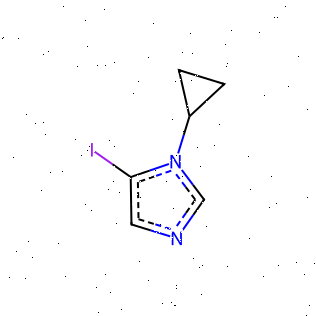 Ic1cncn1C1CC1